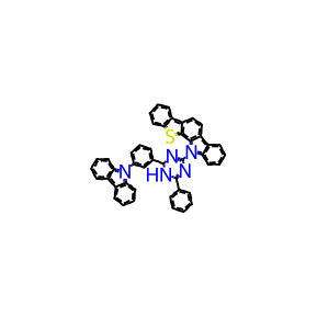 c1ccc(C2=NC(n3c4ccccc4c4ccc5c6ccccc6sc5c43)=NC(c3cccc(-n4c5ccccc5c5ccccc54)c3)N2)cc1